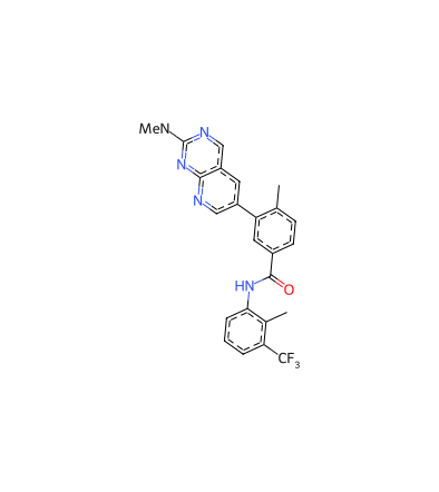 CNc1ncc2cc(-c3cc(C(=O)Nc4cccc(C(F)(F)F)c4C)ccc3C)cnc2n1